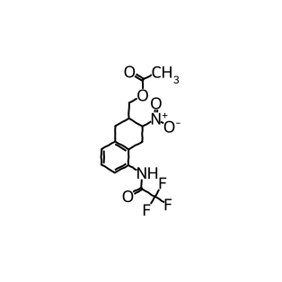 CC(=O)OCC1Cc2cccc(NC(=O)C(F)(F)F)c2CC1[N+](=O)[O-]